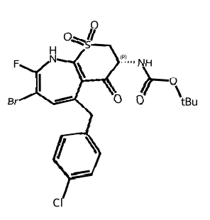 CC(C)(C)OC(=O)N[C@H]1CS(=O)(=O)C2=C(C1=O)C(Cc1ccc(Cl)cc1)=CC(Br)=C(F)N2